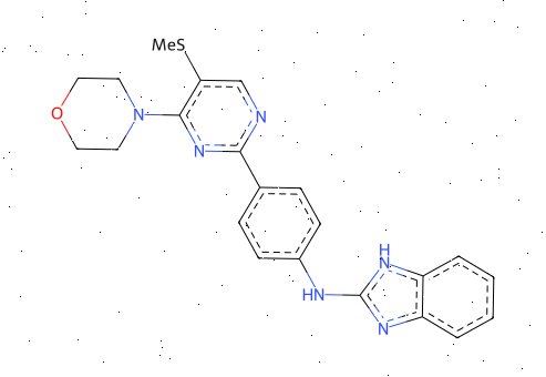 CSc1cnc(-c2ccc(Nc3nc4ccccc4[nH]3)cc2)nc1N1CCOCC1